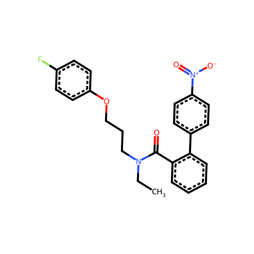 CCN(CCCOc1ccc(F)cc1)C(=O)c1ccccc1-c1ccc([N+](=O)[O-])cc1